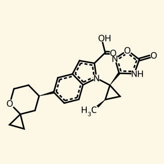 C[C@@H]1C[C@@]1(c1noc(=O)[nH]1)n1c(C(=O)O)cc2cc([C@@H]3CCOC4(CC4)C3)ccc21